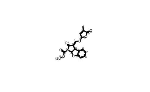 CC1=CC(O/C=C2/C(=O)N(C(=O)OC(C)(C)C)C3Oc4ccccc4C23)OC1=O